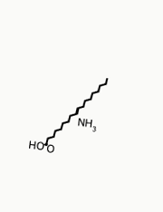 CCCCCCCCC=CCCCCCCCC(=O)O.N